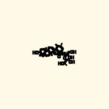 C[C@H](O)C(CO)OC(NC(=O)[C@]12CC[C@@H](C)[C@H](C)C1C1=CCC3[C@@]4(C)CC[C@H](O)C(C)(C)C4CC[C@@]3(C)[C@]1(C)CC2)[C@H](O)CO